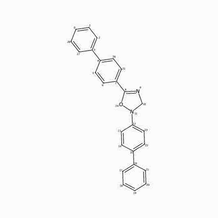 c1ccc(-c2ccc(C3=NCN(c4ccc(-c5ccccc5)cc4)O3)cc2)cc1